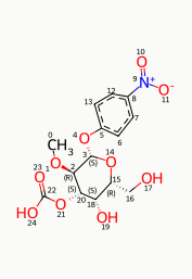 CO[C@H]1[C@H](Oc2ccc([N+](=O)[O-])cc2)O[C@H](CO)[C@H](O)[C@@H]1OC(=O)O